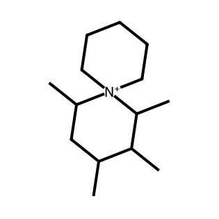 CC1CC(C)[N+]2(CCCCC2)C(C)C1C